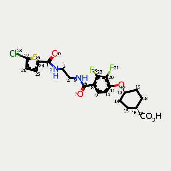 O=C(NCCNC(=O)c1ccc(O[C@H]2CC[C@@H](C(=O)O)CC2)c(F)c1F)c1ccc(Cl)s1